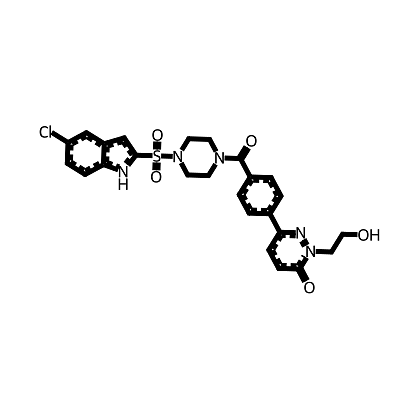 O=C(c1ccc(-c2ccc(=O)n(CCO)n2)cc1)N1CCN(S(=O)(=O)c2cc3cc(Cl)ccc3[nH]2)CC1